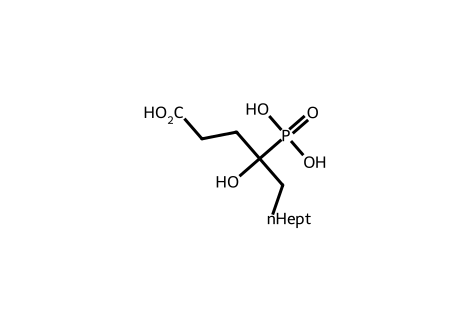 CCCCCCCCC(O)(CCC(=O)O)P(=O)(O)O